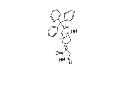 O=C1CN([C@H]2C[C@@H](CNC(c3ccccc3)(c3ccccc3)c3ccccc3)[C@H](O)C2)C(=O)N1